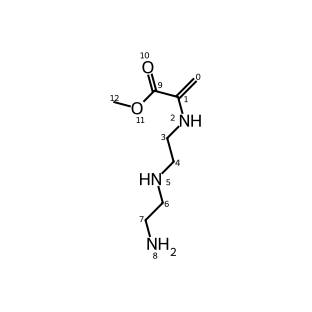 C=C(NCCNCCN)C(=O)OC